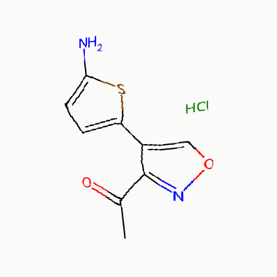 CC(=O)c1nocc1-c1ccc(N)s1.Cl